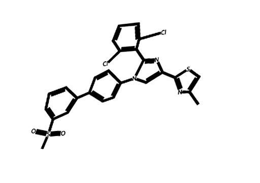 Cc1csc(-c2cn(-c3ccc(-c4cccc(S(C)(=O)=O)c4)cc3)c(-c3c(Cl)cccc3Cl)n2)n1